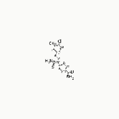 NC(=O)c1ccc(N(CCc2ccc(Cl)c(Cl)c2)C(N)=S)cc1